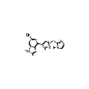 Brc1cc(-c2cn(Cc3ncc[nH]3)nn2)c2cn[nH]c2c1